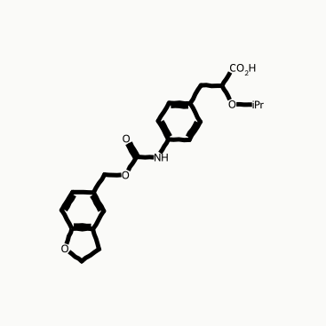 CC(C)OC(Cc1ccc(NC(=O)OCc2ccc3c(c2)CCO3)cc1)C(=O)O